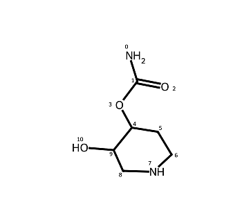 NC(=O)OC1CCNCC1O